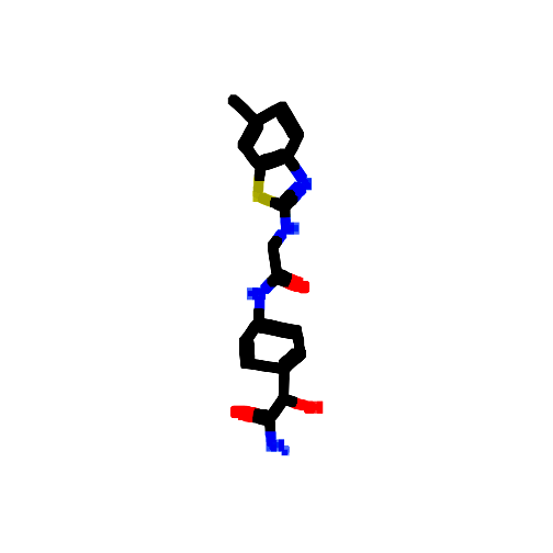 Cc1ccc2nc(NCC(=O)Nc3ccc(C(O)C(N)=O)cc3)sc2c1